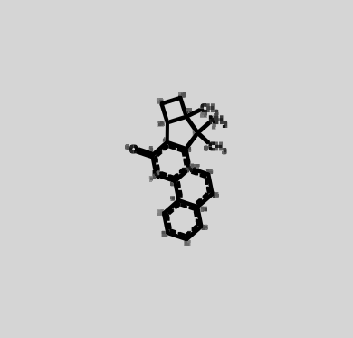 CC1(N)c2c(c(=O)nc3c4ccccc4ccn23)C2CCC21C